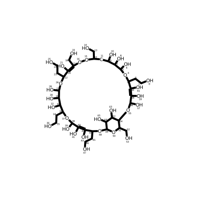 OCCC1OC(O)C(O)C(O)CC(CO)OO/C(CO)=C(/O)C(CCO)OC(O)C(O)C(O)C(CCO)OC(O)/C(O)=C(/O)C(CCO)OC2OC(CO)C(OC(O)/C(O)=C\1O)C(O)C2O